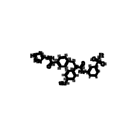 CCS(=O)(=O)c1cccc(NC(=O)N(Cc2ccc(C(=O)Nc3nn[nH]n3)cc2)c2ccc(C(C)(C)C)cc2)c1